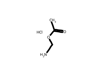 CC(=O)OCN.Cl